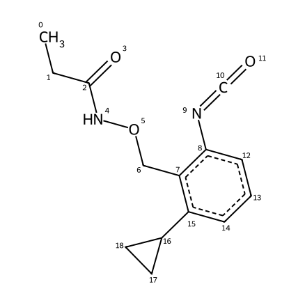 CCC(=O)NOCc1c(N=C=O)cccc1C1CC1